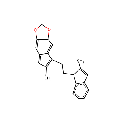 CC1=Cc2ccccc2C1CCC1=C(C)C=C2C=C3OCOC3C=C21